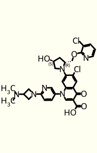 CN(C)C1CN(c2ccc(-n3cc(C(=O)O)c(=O)c4cc(Cl)c(N5C[C@@H](O)C[C@@H]5COc5ncccc5Cl)cc43)cn2)C1